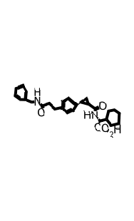 O=C(CCc1ccc([C@@H]2CC2C(=O)N[C@H](C(=O)O)C2CCCCC2)cc1)NCc1ccccc1